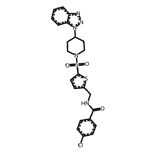 O=C(NCc1ccc(S(=O)(=O)N2CCC(n3nnc4ccccc43)CC2)s1)c1ccc(Cl)cc1